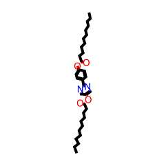 CCCCCCCCCCCC(=O)Oc1ccc(-c2ncc(OC(=O)CCCCCCCCCCC)cn2)cc1